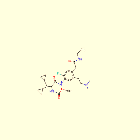 CN(C)CCc1cc(NC(=O)C(NC(=O)OC(C)(C)C)C(C2CC2)C2CC2)c(F)cc1CC(=O)NCC(F)(F)F